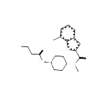 Cc1cccc2cc(C(=O)N(C)[C@H]3CC[C@H](NC(=O)CCN)CC3)[nH]c12